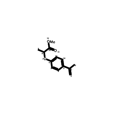 C=C(C)c1ccc(OC(C)C(=O)OC)cc1